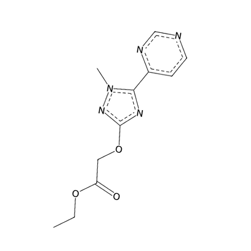 CCOC(=O)COc1nc(-c2ccncn2)n(C)n1